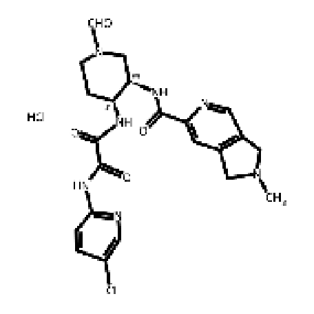 CN1Cc2cnc(C(=O)N[C@@H]3CN(C=O)CC[C@@H]3NC(=O)C(=O)Nc3ccc(Cl)cn3)cc2C1.Cl